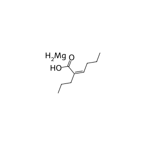 CCCC=C(CCC)C(=O)O.[MgH2]